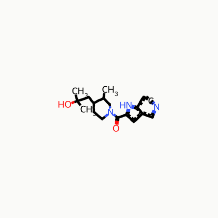 CC1CN(C(=O)c2cc3cnccc3[nH]2)CCC1CC(C)(C)O